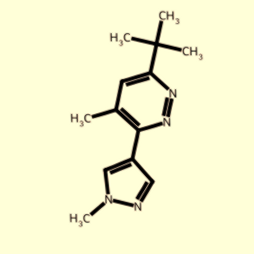 Cc1cc(C(C)(C)C)nnc1-c1cnn(C)c1